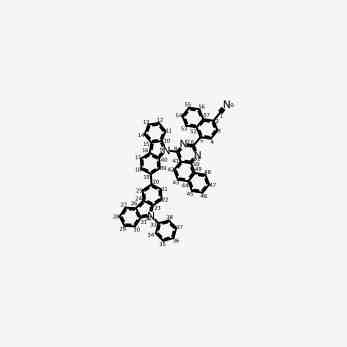 N#Cc1ccc(-c2nc(-n3c4ccccc4c4ccc(-c5ccc6c(c5)c5ccccc5n6-c5ccccc5)cc43)c3ccc4ccccc4c3n2)c2ccccc12